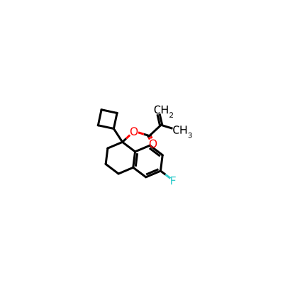 C=C(C)C(=O)OC1(C2CCC2)CCCc2cc(F)ccc21